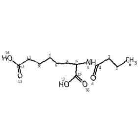 CCCC(=O)NC(CCCCCC(=O)O)C(=O)O